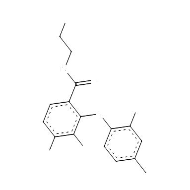 Cc1ccc(Nc2c(C(=O)NCCO)ccc(F)c2F)c(F)c1